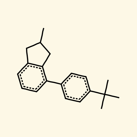 CC1Cc2cccc(-c3ccc(C(C)(C)C)cc3)c2C1